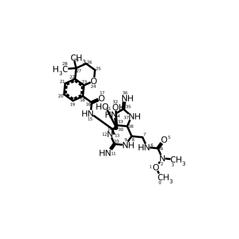 CON(C)C(=O)NCC1NC(=N)N2CC(NC(=O)c3cccc4c3OCCC4(C)C)C(O)(O)C23NC(=N)NC13